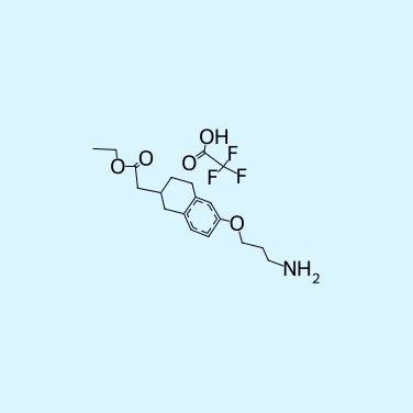 CCOC(=O)CC1CCc2cc(OCCCN)ccc2C1.O=C(O)C(F)(F)F